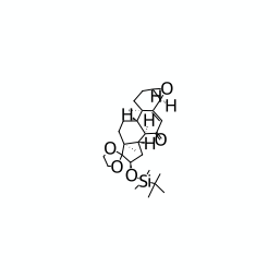 CC(C)(C)[Si](C)(C)O[C@@H]1C[C@H]2[C@@H]3C(=O)C=C4[C@@H]5O[C@@H]5CC[C@]4(C)[C@H]3CC[C@]2(C)C12OCCO2